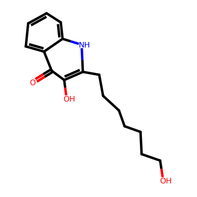 O=c1c(O)c(CCCCCCCO)[nH]c2ccccc12